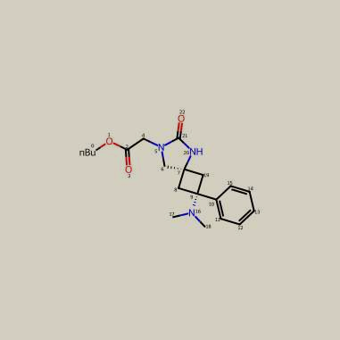 CCCCOC(=O)CN1C[C@]2(C[C@@](c3ccccc3)(N(C)C)C2)NC1=O